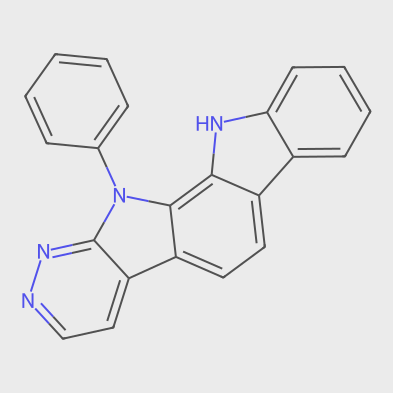 c1ccc(-n2c3nnccc3c3ccc4c5ccccc5[nH]c4c32)cc1